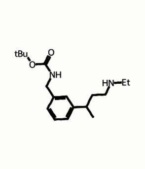 CCNCCC(C)c1cccc(CNC(=O)OC(C)(C)C)c1